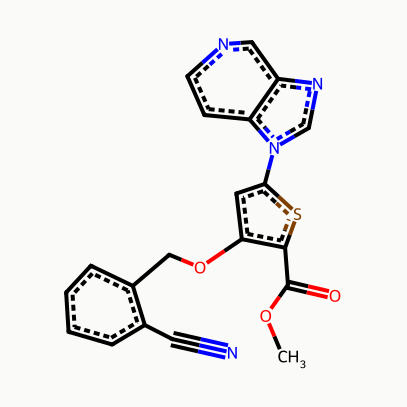 COC(=O)c1sc(-n2cnc3cnccc32)cc1OCc1ccccc1C#N